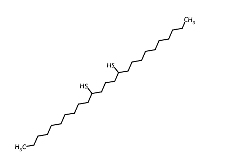 CCCCCCCCCCC(S)CCCC(S)CCCCCCCCCC